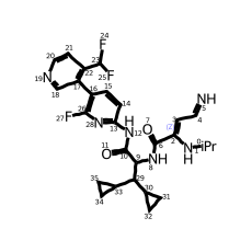 CC(C)N/C(=C\C=N)C(=O)NC(C(=O)Nc1ccc(-c2cnccc2C(F)F)c(F)n1)C(C1CC1)C1CC1